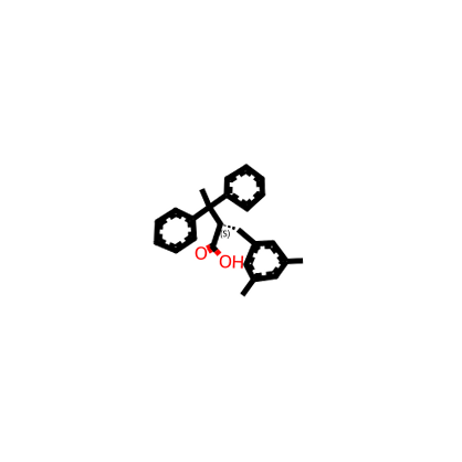 Cc1cc(C)cc(C[C@H](C(=O)O)C(C)(c2ccccc2)c2ccccc2)c1